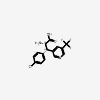 N[C@H](C(=O)O)[C@@H](c1ccc(Cl)cc1)c1cncc(C(F)(F)F)c1